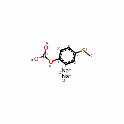 CSc1ccc(OB([O-])[O-])cc1.[Na+].[Na+]